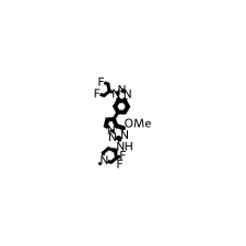 COc1nc(N[C@@H]2CCN(C)CC2(F)F)nn2ccc(-c3ccc4nnn(C(CF)CF)c4c3)c12